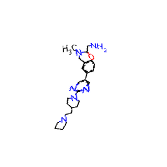 CN(Cc1cccc(-c2cnc(N3CCC(CCN4CCCC4)CC3)nc2)c1)C(=O)CN